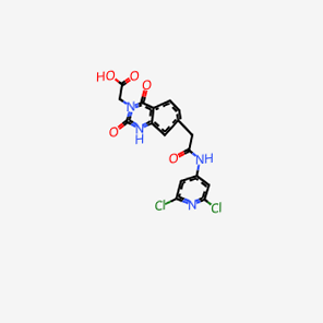 O=C(O)Cn1c(=O)[nH]c2cc(CC(=O)Nc3cc(Cl)nc(Cl)c3)ccc2c1=O